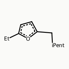 CCCC(C)Cc1ccc(CC)o1